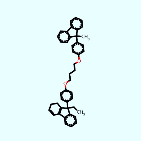 CCC1(c2ccc(OCCCCOc3ccc(C4(C)c5ccccc5-c5ccccc54)cc3)cc2)C2=C(C=CCC2)c2ccccc21